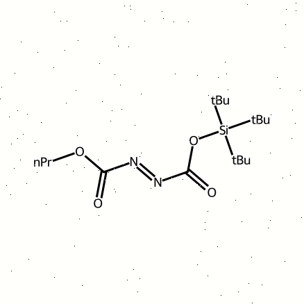 CCCOC(=O)N=NC(=O)O[Si](C(C)(C)C)(C(C)(C)C)C(C)(C)C